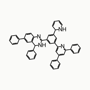 C1=CNC(c2cc(C3=Nc4ccc(-c5ccccc5)cc4C(c4ccccc4)N3)cc(-c3cc(-c4ccccc4)cc(-c4ccccc4)n3)c2)C=C1